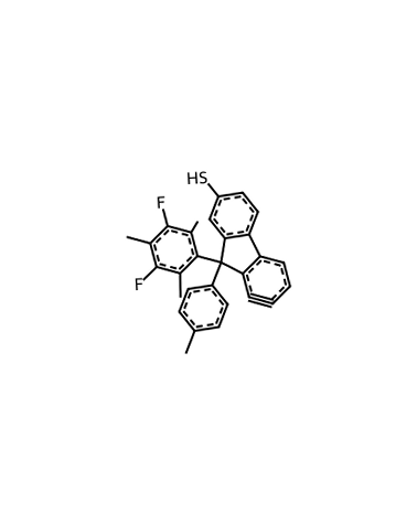 Cc1ccc(C2(c3c(C)c(F)c(C)c(F)c3C)c3c#cccc3-c3ccc(S)cc32)cc1